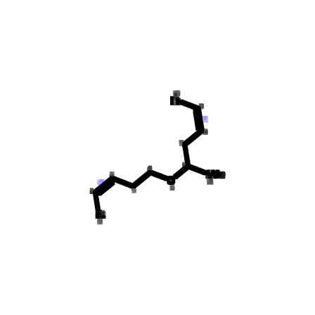 CC/C=C\CCOC(C/C=C\CC)SC